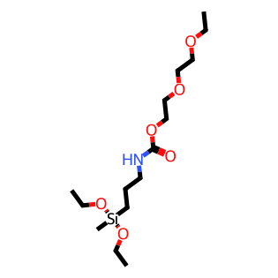 CCOCCOCCOC(=O)NCCC[Si](C)(OCC)OCC